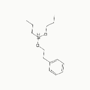 CCCO[SiH](CCC)OCCc1ccccc1